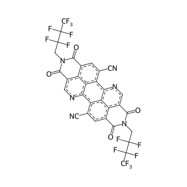 N#Cc1cc2c3c(cnc4c5c(C#N)cc6c7c(cnc(c1c34)c75)C(=O)N(CC(F)(F)C(F)(F)C(F)(F)F)C6=O)C(=O)N(CC(F)(F)C(F)(F)C(F)(F)F)C2=O